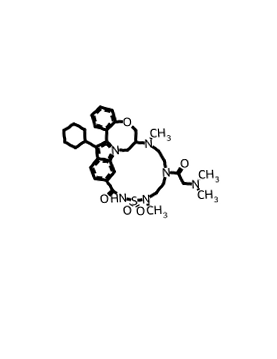 CN(C)CC(=O)N1CCN(C)C2COc3ccccc3-c3c(C4CCCCC4)c4ccc(cc4n3C2)C(=O)NS(=O)(=O)N(C)CC1